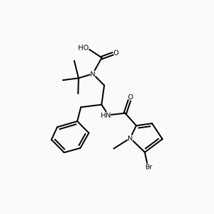 Cn1c(Br)ccc1C(=O)NC(Cc1ccccc1)CN(C(=O)O)C(C)(C)C